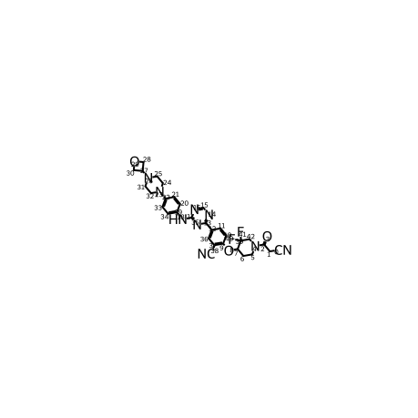 N#CCC(=O)N1CCC(Oc2ccc(-c3ncnc(Nc4ccc(N5CCN(C6COC6)CC5)cc4)n3)cc2C#N)C(F)(F)C1